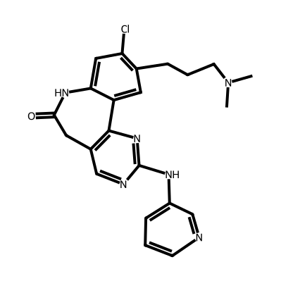 CN(C)CCCc1cc2c(cc1Cl)NC(=O)Cc1cnc(Nc3cccnc3)nc1-2